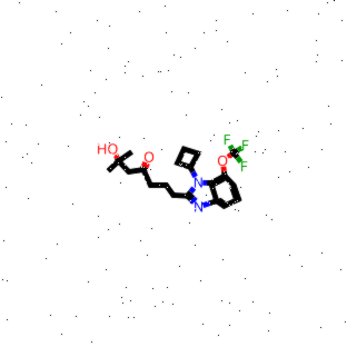 CC(C)(O)CC(=O)CCCc1nc2cccc(OC(F)(F)F)c2n1C1CCC1